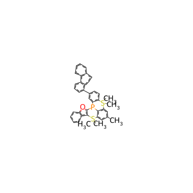 Cc1cc2c3c(c1)S(C)(C)c1c(oc4ccccc14)P3c1cc(-c3cccc4c3ccc3ccccc34)ccc1S2(C)C